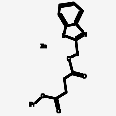 CC(C)OC(=O)CCC(=O)OSc1nc2ccccc2s1.[Zn]